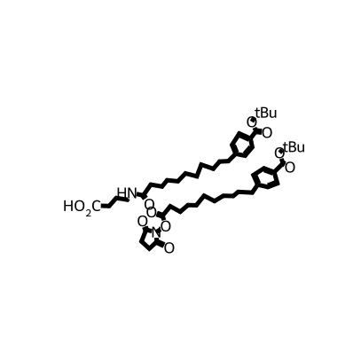 CC(C)(C)OC(=O)c1ccc(CCCCCCCCCCC(=O)NCCCC(=O)O)cc1.CC(C)(C)OC(=O)c1ccc(CCCCCCCCCCC(=O)ON2C(=O)CCC2=O)cc1